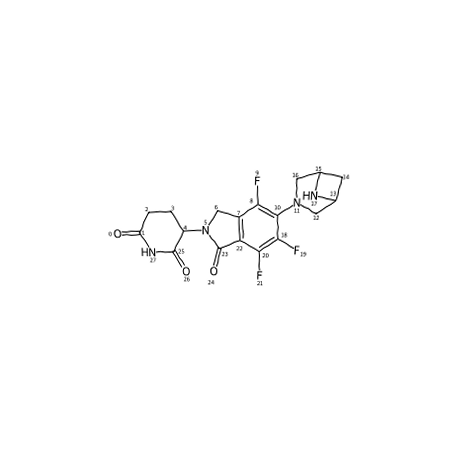 O=C1CCC(N2Cc3c(F)c(N4CC5CC(C4)N5)c(F)c(F)c3C2=O)C(=O)N1